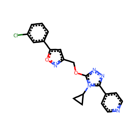 Clc1cccc(-c2cc(COc3nnc(-c4ccncc4)n3C3CC3)no2)c1